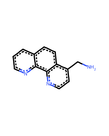 NCc1ccnc2c1ccc1cccnc12